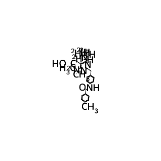 [2H]C([2H])([2H])N(c1nc(Cc2ccc(NC(=O)c3ccc(C)cc3)cc2)nc(N(C)C)c1CC(=O)O)C([2H])([2H])[2H]